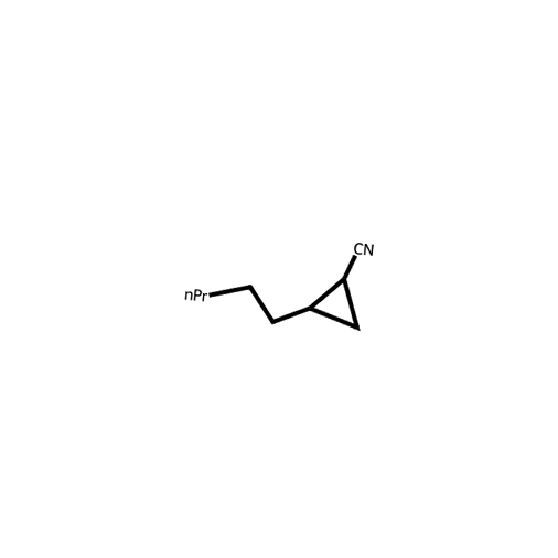 CCCCCC1CC1C#N